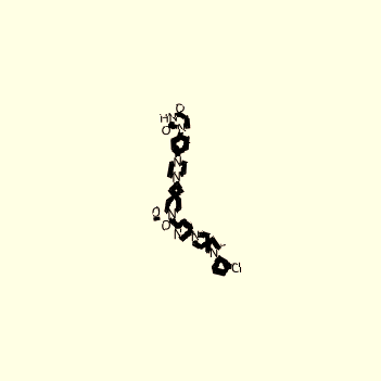 C=O.C[C@H]1CC2(CCN(c3ccc(C(=O)N4CCC5(CC4)CC(N4CCN(c6ccc(N7CCC(=O)NC7=O)cc6)CC4)C5)nc3)CC2)CN1c1cccc(Cl)c1